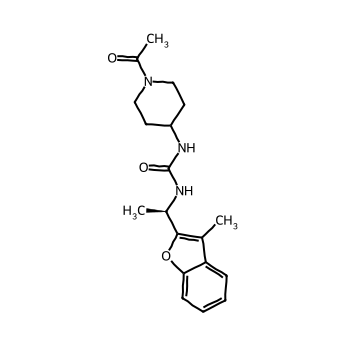 CC(=O)N1CCC(NC(=O)N[C@H](C)c2oc3ccccc3c2C)CC1